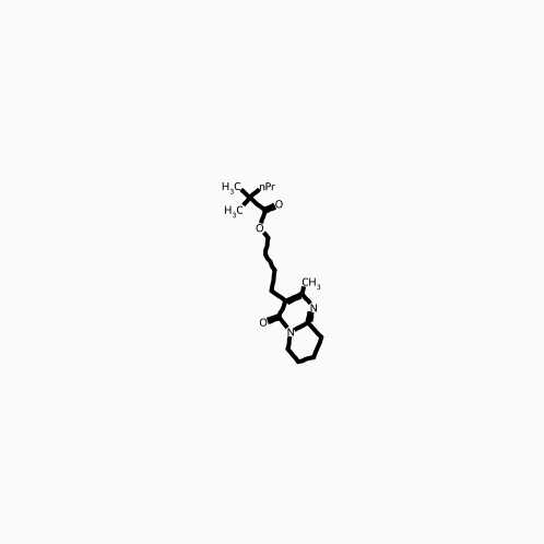 CCCC(C)(C)C(=O)OCCCCc1c(C)nc2n(c1=O)CCCC2